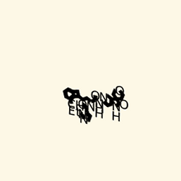 CCn1nccc1C(=O)NC(CCC1Cc2cccc(C)c21)C(=O)Nc1cc2c(cn1)C1(CCOCC1)C(=O)N2